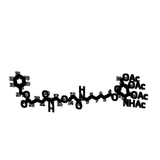 CC(=O)NC1C(OCCCCCCNC(=O)CCOCCNC(=O)CCCC(=O)OCc2ccccc2)OC(COC(C)=O)C(OC(C)=O)C1OC(C)=O